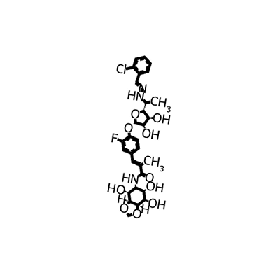 CC(=Cc1ccc(O[C@@H]2O[C@H](C(C)NN=Cc3ccccc3Cl)[C@@H](O)[C@@H]2O)c(F)c1)C(=O)N[C@@H]1[C@H](O)[C@@H](O)[C@H]2OCO[C@H]2[C@@H]1O